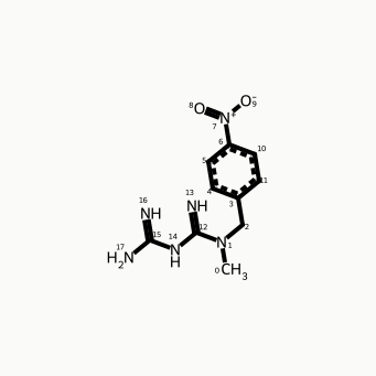 CN(Cc1ccc([N+](=O)[O-])cc1)C(=N)NC(=N)N